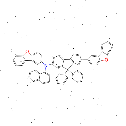 c1ccc(C2(c3ccccc3)c3cc(-c4ccc5oc6ccccc6c5c4)ccc3-c3ccc(N(c4ccc5oc6ccccc6c5c4)c4cccc5ccccc45)cc32)cc1